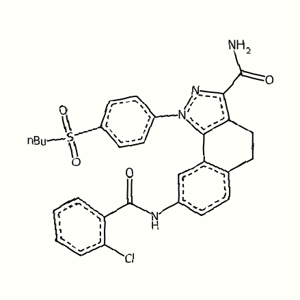 CCCCS(=O)(=O)c1ccc(-n2nc(C(N)=O)c3c2-c2cc(NC(=O)c4ccccc4Cl)ccc2CC3)cc1